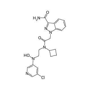 NC(=O)c1nn(CC(=O)N(CCN(O)c2cncc(Cl)c2)C2CCC2)c2ccccc12